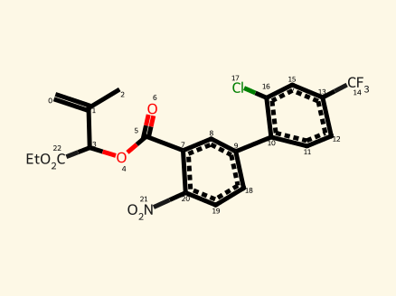 C=C(C)C(OC(=O)c1cc(-c2ccc(C(F)(F)F)cc2Cl)ccc1[N+](=O)[O-])C(=O)OCC